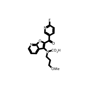 COCCCN(C(=O)O)c1c(C(=O)c2ccc(F)nc2)oc2ncccc12